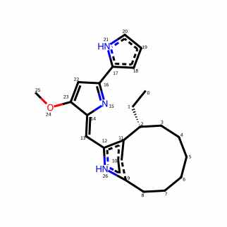 CC[C@@H]1CCCCCCc2cc1c(C=C1N=C(c3ccc[nH]3)C=C1OC)[nH]2